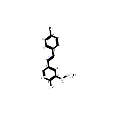 CC(C)c1ncc(/C=C/c2ccc(F)cc2)cc1OS(=O)(=O)O